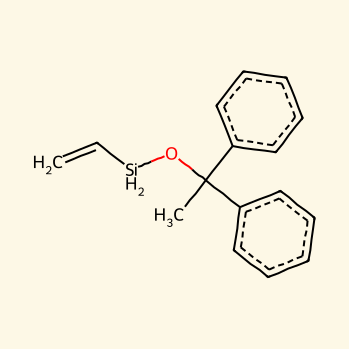 C=C[SiH2]OC(C)(c1ccccc1)c1ccccc1